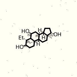 CC[C@@H]1C2[C@@H](O)C[C@H]3[C@@H]4CC[C@H](O)[C@@]4(C)CC[C@@H]3[C@@]2(C)CC[C@H]1O